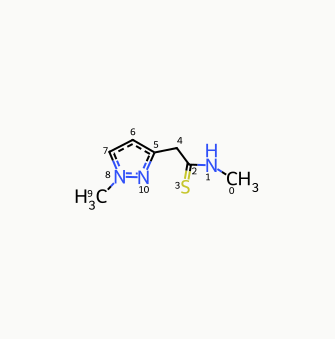 CNC(=S)Cc1ccn(C)n1